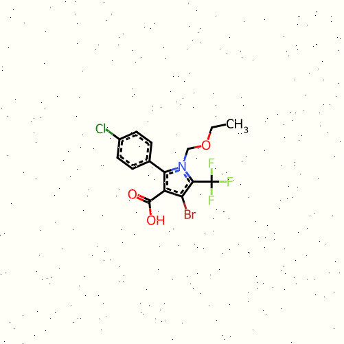 CCOCn1c(-c2ccc(Cl)cc2)c(C(=O)O)c(Br)c1C(F)(F)F